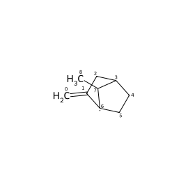 C=C1CC2CC[C]1C2C